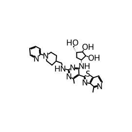 Cc1nc(NCC2CCN(c3ccccn3)CC2)nc(N[C@@H]2C[C@H](CO)[C@@H](O)[C@H]2O)c1-c1nc2c(C)nccc2s1